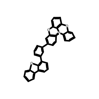 S=P12c3ccccc3Oc3cccc(c31)Oc1cc(-c3cccc(-c4cccc5c4oc4ccccc45)c3)ccc12